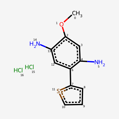 COc1cc(N)c(-c2cccs2)cc1N.Cl.Cl